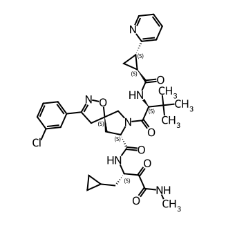 CNC(=O)C(=O)[C@H](CC1CC1)NC(=O)[C@@H]1C[C@]2(CC(c3cccc(Cl)c3)=NO2)CN1C(=O)[C@@H](NC(=O)[C@H]1C[C@@H]1c1ccccn1)C(C)(C)C